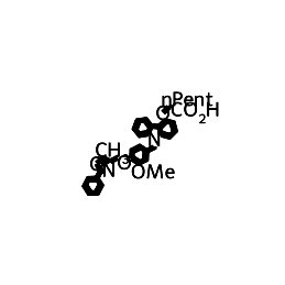 CCCCCC(Oc1cccc2c1c1ccccc1n2Cc1ccc(OCc2nc(-c3ccccc3)oc2C)c(OC)c1)C(=O)O